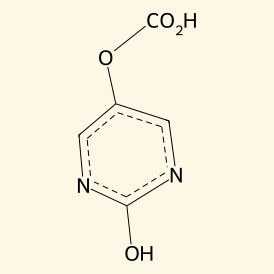 O=C(O)Oc1cnc(O)nc1